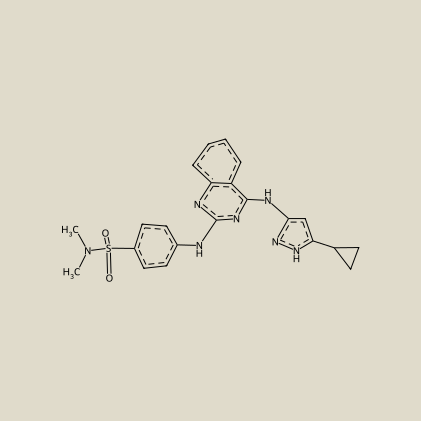 CN(C)S(=O)(=O)c1ccc(Nc2nc(Nc3cc(C4CC4)[nH]n3)c3ccccc3n2)cc1